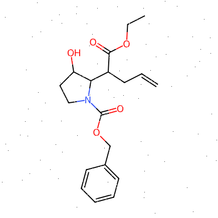 C=CCC(C(=O)OCC)C1C(O)CCN1C(=O)OCc1ccccc1